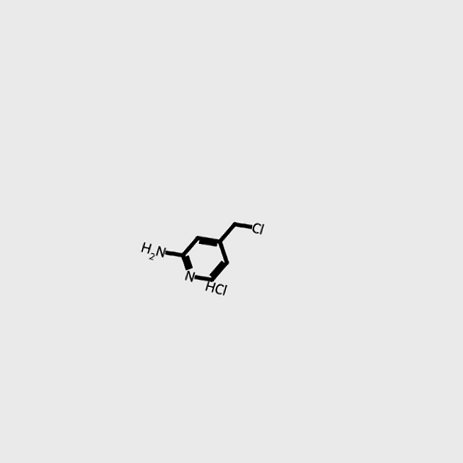 Cl.Nc1cc(CCl)ccn1